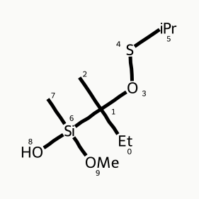 CCC(C)(OSC(C)C)[Si](C)(O)OC